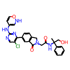 CC(CO)(NC(=O)CN1Cc2ccc(-c3nc(NC4=CNOC=C4)ncc3Cl)cc2C1=O)c1ccccc1